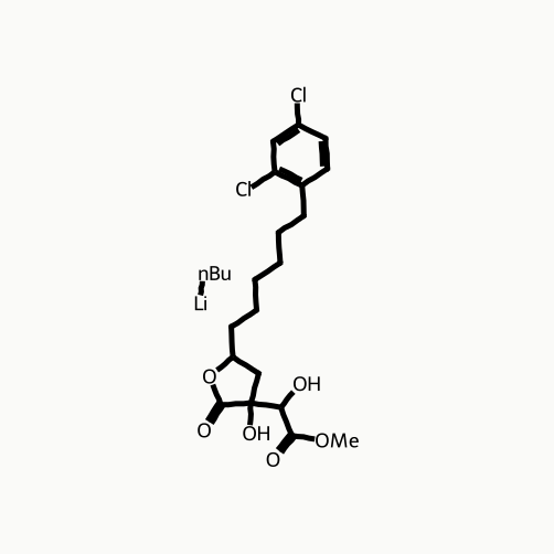 COC(=O)C(O)C1(O)CC(CCCCCCc2ccc(Cl)cc2Cl)OC1=O.[Li][CH2]CCC